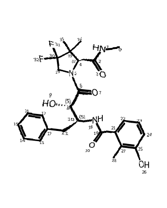 CNC(=O)[C@H]1N(C(=O)[C@@H](O)[C@H](Cc2ccccc2)NC(=O)c2cccc(O)c2C)CC(F)(F)C1(C)C